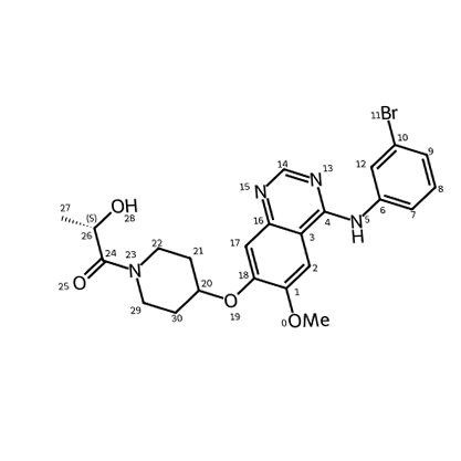 COc1cc2c(Nc3cccc(Br)c3)ncnc2cc1OC1CCN(C(=O)[C@H](C)O)CC1